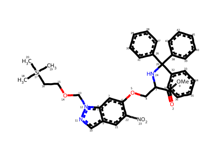 COC(=O)C(COc1cc2c(cnn2COCC[Si](C)(C)C)cc1[N+](=O)[O-])NC(c1ccccc1)(c1ccccc1)c1ccccc1